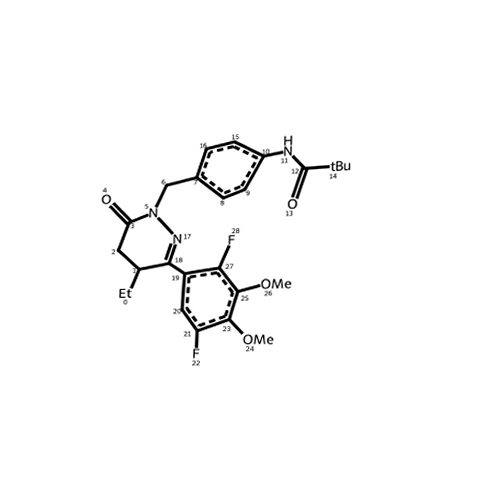 CCC1CC(=O)N(Cc2ccc(NC(=O)C(C)(C)C)cc2)N=C1c1cc(F)c(OC)c(OC)c1F